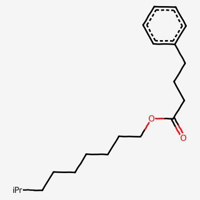 CC(C)CCCCCCCOC(=O)CCCc1ccccc1